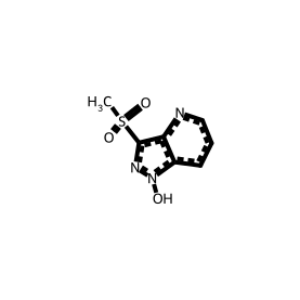 CS(=O)(=O)c1nn(O)c2cccnc12